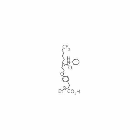 CCOC(Cc1ccc(OCCN(CCCCCC(F)(F)F)C(=O)NC2CCCCC2)cc1)C(=O)O